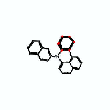 c1ccc(-c2cccc3cccc(N(c4ccccc4)c4ccc5ccccc5c4)c23)cc1